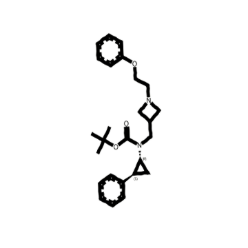 CC(C)(C)OC(=O)N(CC1CN(CCOc2ccccc2)C1)[C@@H]1C[C@H]1c1ccccc1